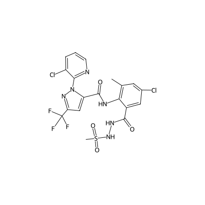 Cc1cc(Cl)cc(C(=O)NNS(C)(=O)=O)c1NC(=O)c1cc(C(F)(F)F)nn1-c1ncccc1Cl